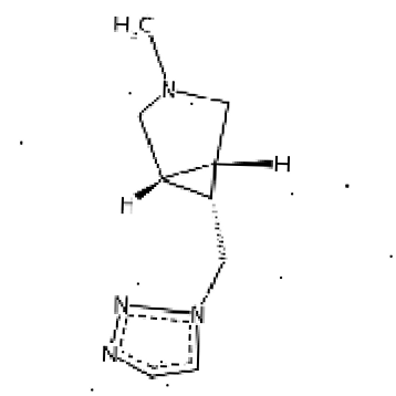 CN1C[C@@H]2[C@H](C1)[C@@H]2Cn1ccnn1